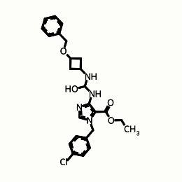 CCOC(=O)c1c(NC(O)NC2CC(OCc3ccccc3)C2)ncn1Cc1ccc(Cl)cc1